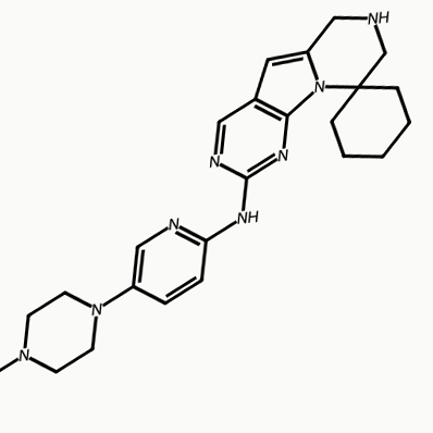 CC(C)N1CCN(c2ccc(Nc3ncc4cc5n(c4n3)C3(CCCCC3)CNC5)nc2)CC1